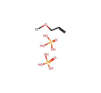 C=CCOCC.O=P(O)(O)O.O=P(O)(O)O